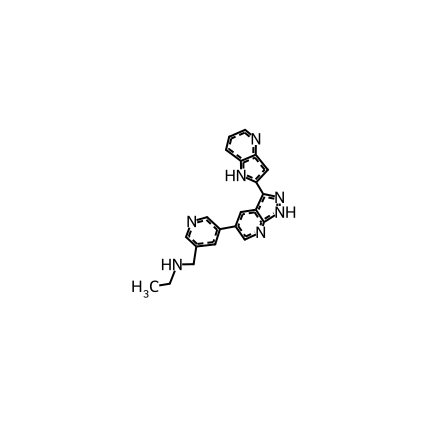 CCNCc1cncc(-c2cnc3[nH]nc(-c4cc5ncccc5[nH]4)c3c2)c1